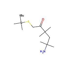 CC(C)(N)CC(C)(C)C(=O)CS[Si](C)(C)C(C)(C)C